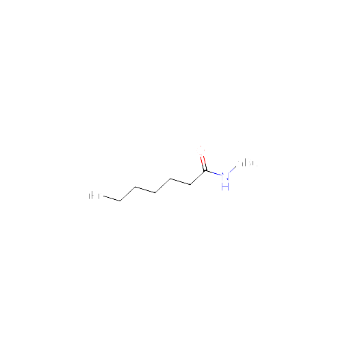 CCCCNC(=O)CCCCCC(C)C